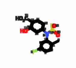 Cc1ccc(F)cc1N(c1ccc(C(=O)O)c(O)c1)[SH](=O)=O